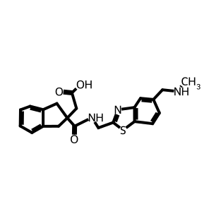 CNCc1ccc2sc(CNC(=O)C3(CC(=O)O)Cc4ccccc4C3)nc2c1